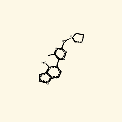 Cc1nc(N[C@H]2CCOC2)nnc1-c1ccc2sccc2c1O